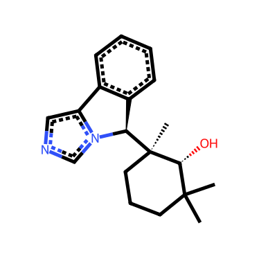 CC1(C)CCC[C@@](C)([C@@H]2c3ccccc3-c3cncn32)[C@@H]1O